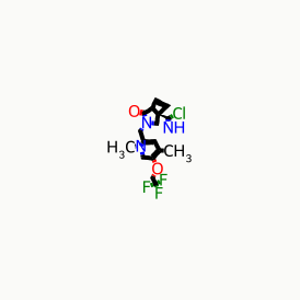 CC1=C(OCC(F)(F)F)CN(C)C(CN2C[C@@]3(C(=N)Cl)C=CC3C2=O)=C1